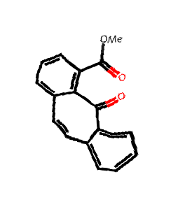 COC(=O)c1cccc2ccc3ccccc3c(=O)c12